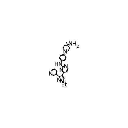 CCn1cc(-c2ccnc(Nc3ccc(N4CCC(C)(N)CC4)cc3)n2)c(-c2cccnc2)n1